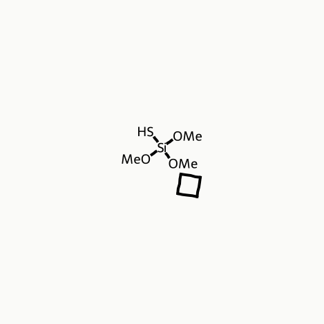 C1CCC1.CO[Si](S)(OC)OC